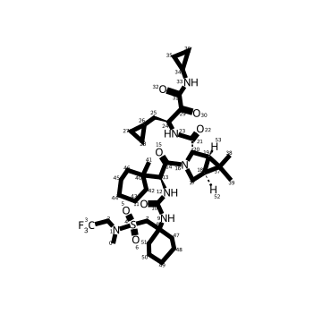 CN(CC(F)(F)F)S(=O)(=O)CC1(NC(=O)N[C@H](C(=O)N2C[C@H]3[C@@H]([C@H]2C(=O)N[C@@H](CC2CC2)C(=O)C(=O)NC2CC2)C3(C)C)C2(C)CCCCC2)CCCCC1